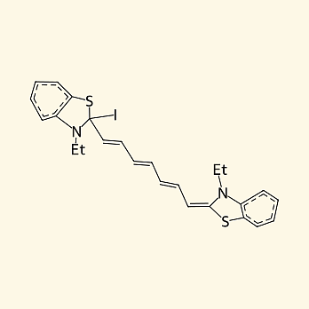 CCN1C(=CC=CC=CC=CC2(I)Sc3ccccc3N2CC)Sc2ccccc21